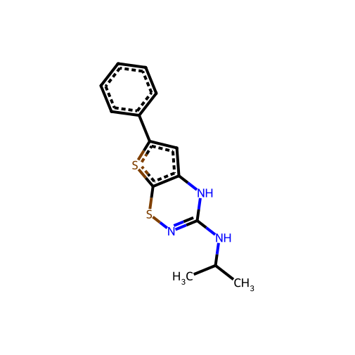 CC(C)NC1=NSc2sc(-c3ccccc3)cc2N1